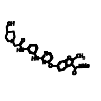 CNC(=O)c1c(C)oc2cc(Oc3ccnc(Nc4cccc(NC(=O)CN5CCC(CO)CC5)c4)n3)ccc12